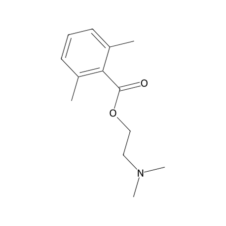 Cc1cccc(C)c1C(=O)OCCN(C)C